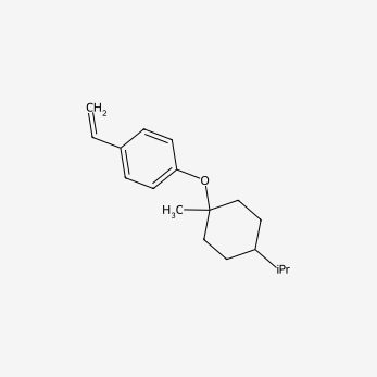 C=Cc1ccc(OC2(C)CCC(C(C)C)CC2)cc1